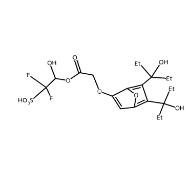 CCC(O)(CC)c1c(C(O)(CC)CC)c2oc1cc2OCC(=O)OC(O)C(F)(F)S(=O)(=O)O